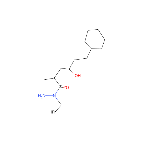 CC(C)CN(N)C(=O)C(C)CC(O)CCC1CCCCC1